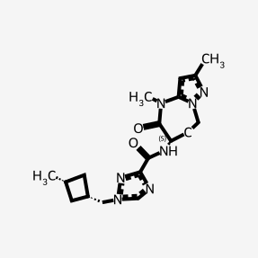 Cc1cc2n(n1)CC[C@H](NC(=O)c1ncn(C[C@H]3C[C@@H](C)C3)n1)C(=O)N2C